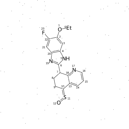 CCOc1cc2[nH]c(C3CCC(=S=O)c4cccnc43)nc2cc1F